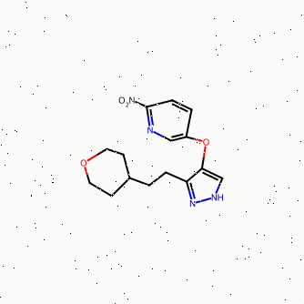 O=[N+]([O-])c1ccc(Oc2c[nH]nc2CCC2CCOCC2)cn1